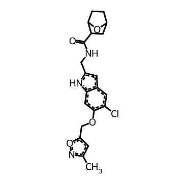 Cc1cc(COc2cc3[nH]c(CNC(=O)C4CC5CCC4O5)cc3cc2Cl)on1